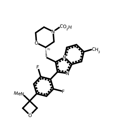 CNC1(c2cc(F)c(-c3nc4cc(C)ccn4c3C[C@H]3CN(C(=O)O)CCO3)c(F)c2)COC1